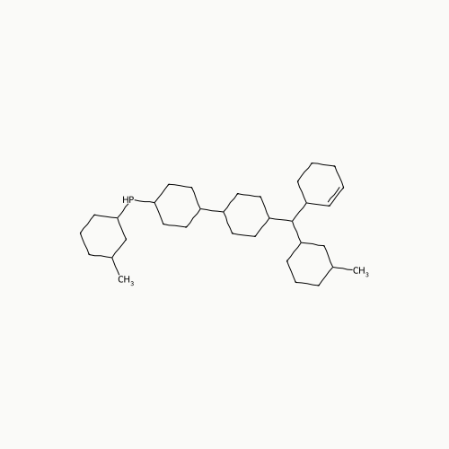 CC1CCCC(PC2CCC(C3CCC(C(C4C=CCCC4)C4CCCC(C)C4)CC3)CC2)C1